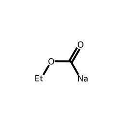 CCO[C](=O)[Na]